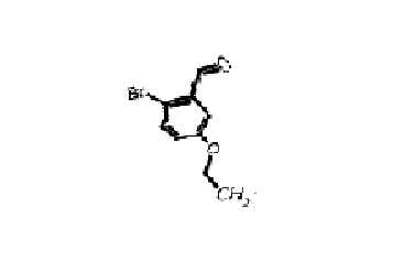 [CH2]COc1ccc(Br)c(C=O)c1